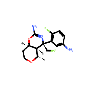 C[C@@H]1OCC[C@H]2OC(N)=N[C@](CF)(c3cc(N)ccc3F)[C@@H]12